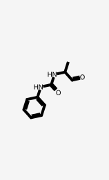 CC([C]=O)NC(=O)Nc1ccccc1